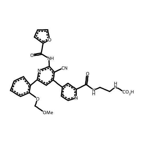 COCOc1ccccc1-c1cc(-c2ccnc(C(=O)NCCNC(=O)O)c2)c(C#N)c(NC(=O)c2ccco2)n1